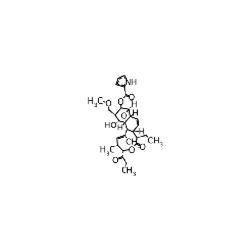 CCC(=O)[C@H]1OC(=O)[C@H](CC)[C@H]2C=C[C@H]3[C@H]4O[C@]2(/C(C)=C/[C@H]1C)[C@@H]3[C@H](O)[C@@H](COC)[C@H]4OC(=O)c1ccc[nH]1